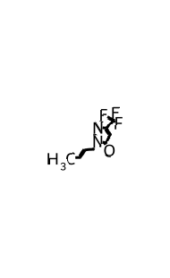 C/C=C/Cn1cnc(C(F)(F)F)cc1=O